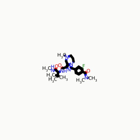 CNC(=O)C(NC(=O)c1nc(-c2ccc(C(=O)N(C)C)c(F)c2)n2c1CN(C)CCC2)C(C)(C)C